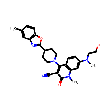 Cc1ccc2oc(C3CCN(c4c(C#N)c(=O)n(C)c5cc(N(C)CCO)ccc45)CC3)nc2c1